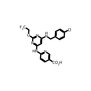 O=C(O)c1ccc(Nc2cc(NCc3ccc(Cl)cc3)nc(OCC(F)(F)F)n2)nc1